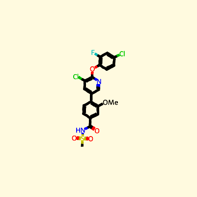 COc1cc(C(=O)NS(C)(=O)=O)ccc1-c1cnc(Oc2ccc(Cl)cc2F)c(Cl)c1